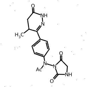 CC(=O)N(c1ccc(C2=NNC(=O)CC2C)cc1)N1C(=O)CNC1=O